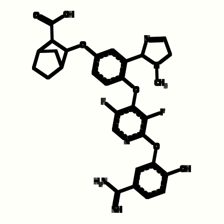 CN1CC=NC1c1cc(OC2C3CCC(C3)C2C(=O)O)ccc1Oc1c(F)cnc(Oc2cc(C(=N)N)ccc2O)c1F